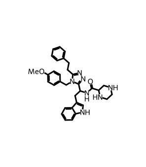 COc1ccc(Cn2c(CCc3ccccc3)nnc2C(Cc2c[nH]c3ccccc23)NC(=O)C2CNCCN2)cc1